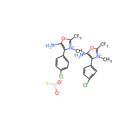 C[n+]1c(C(F)(F)F)oc(N)c1-c1ccc(Cl)cc1.C[n+]1c(C(F)(F)F)oc(N)c1-c1ccc(Cl)cc1.[O-]B([O-])F